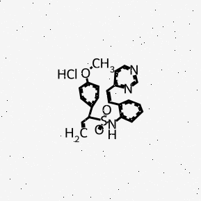 C=CC(c1ccc(OC)cc1)S(=O)(=O)Nc1ccccc1C=Cc1ccncn1.Cl